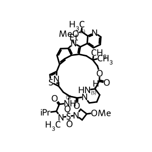 CCn1c(-c2cccnc2[C@H](C)OC)c2c3cc(ccc31)-c1csc(n1)C[C@H](NC(=O)C(C(C)C)N(C)S(=O)(=O)N1CC(OC)C1)C(=O)N1CCC[C@H](N1)C(=O)OCC(C)(C)C2